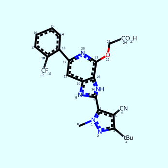 Cn1nc(C(C)(C)C)c(C#N)c1-c1nc2cc(-c3ccccc3C(F)(F)F)nc(OCC(=O)O)c2[nH]1